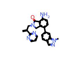 C=C(CN1Cc2c(-c3ccc4cnn(C)c4c3)ccc(N)c2C1=O)c1ncccn1